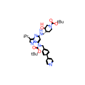 CC(C)c1cnn2c(N(Cc3ccc(-c4ccncc4)cc3)C(=O)OC(C)(C)C)cc(NC[C@H]3CCN(C(=O)OC(C)(C)C)C[C@@H]3O)nc12